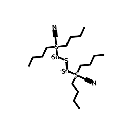 CCCC[S](C#N)(CCCC)[Sn][S][Sn][S](C#N)(CCCC)CCCC